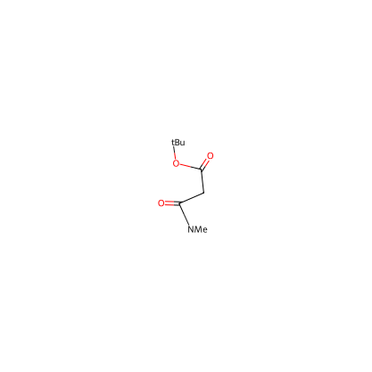 [CH2]NC(=O)CC(=O)OC(C)(C)C